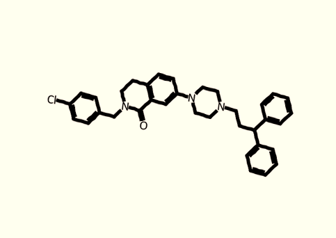 O=C1c2cc(N3CCN(CCC(c4ccccc4)c4ccccc4)CC3)ccc2CCN1Cc1ccc(Cl)cc1